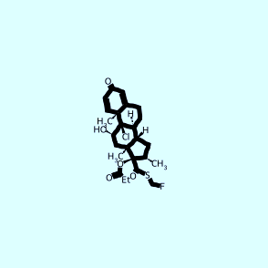 CCC(=O)O[C@]1(C(=O)SCF)[C@@H](C)C[C@H]2[C@@H]3CCC4=CC(=O)C=C[C@]4(C)[C@@]3(Cl)[C@@H](O)C[C@@]21C